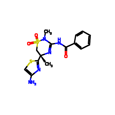 CN1C(NC(=O)c2ccccc2)=N[C@](C)(c2nc(N)cs2)CS1(=O)=O